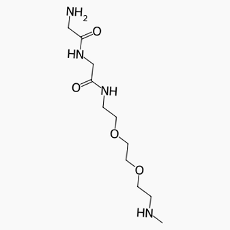 CNCCOCCOCCNC(=O)CNC(=O)CN